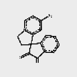 CC(=O)c1cc[n+]2c(c1)C1(CC2)C(=O)Nc2ccccc21